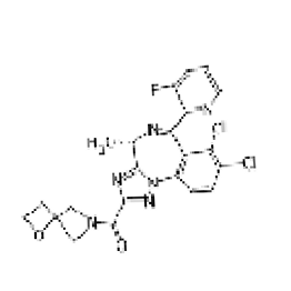 C[C@@H]1N=C(c2ncccc2F)c2c(ccc(Cl)c2Cl)-n2nc(C(=O)N3CC4(CCO4)C3)nc21